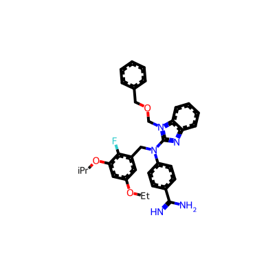 CCOc1cc(CN(c2ccc(C(=N)N)cc2)c2nc3ccccc3n2COCc2ccccc2)c(F)c(OC(C)C)c1